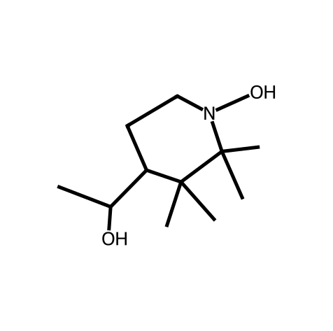 CC(O)C1CCN(O)C(C)(C)C1(C)C